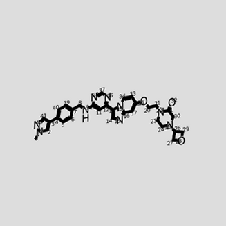 Cn1cc(-c2ccc(CNc3cc(-c4cnc5cc(OCCN6CCN(C7COC7)CC6=O)ccn45)ncn3)cc2)cn1